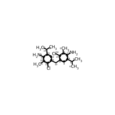 Cc1c(N)c(C(C)C)cc(Cc2cc(C(C)C)c(N)c(C)c2Cl)c1Cl